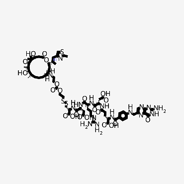 C/C(=C\c1csc(C)n1)[C@@H]1C[C@H]2[C@@H](CCC[C@H](C)[C@H](O)[C@@H](C)C(=O)C(C)(C)[C@@H](O)CC(=O)O1)N2CCOC(=O)OCCSSC[C@H](NC(=O)[C@H](CC(=O)O)NC(=O)[C@H](CCCN=C(N)N)NC(=O)[C@H](CC(=O)O)NC(=O)CC[C@H](NC(=O)c1ccc(NCc2cnc3nc(N)[nH]c(=O)c3n2)cc1)C(=O)O)C(=O)O